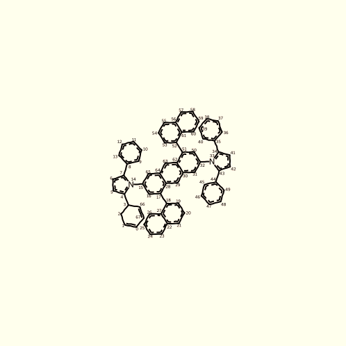 C1=CCC(c2ccc(-c3ccccc3)n2-c2cc(-c3cccc4ccccc34)c3cc4cc(-n5c(-c6ccccc6)ccc5-c5ccccc5)cc(-c5cccc6ccccc56)c4cc3c2)C=C1